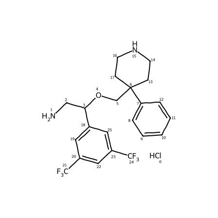 Cl.NCC(OCC1(c2ccccc2)CCNCC1)c1cc(C(F)(F)F)cc(C(F)(F)F)c1